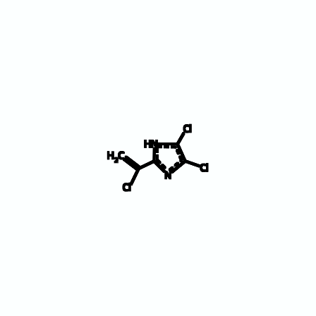 C=C(Cl)c1nc(Cl)c(Cl)[nH]1